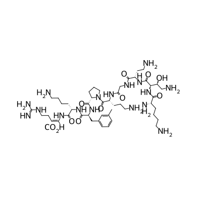 Cc1cccc(C[C@H](NC(=O)[C@@H]2CCCN2C(=O)[C@@H](CCCN)NC(=O)CNC(=O)[C@H](CCN)NC(=O)[C@H](NC(=O)[C@@H](N)CCCCN)[C@@H](O)CN)C(=O)N[C@@H](CCCCN)C(=O)N/C(=C\CCNC(=N)N)C(=O)O)c1